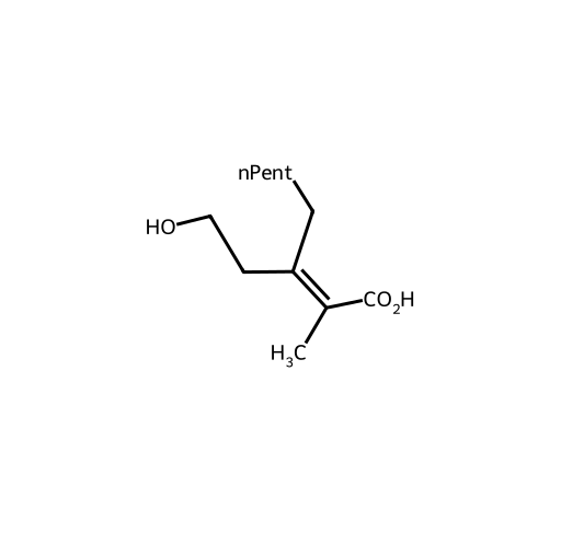 CCCCCC/C(CCO)=C(/C)C(=O)O